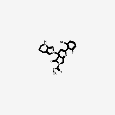 CC(C)(C)OC(=O)N1Cc2nc(-c3c(F)cccc3C#N)cc(-n3cc4c(n3)NCCC4)c2C1=O